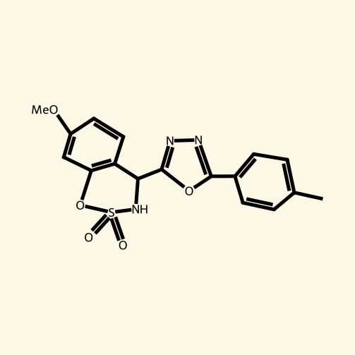 COc1ccc2c(c1)OS(=O)(=O)NC2c1nnc(-c2ccc(C)cc2)o1